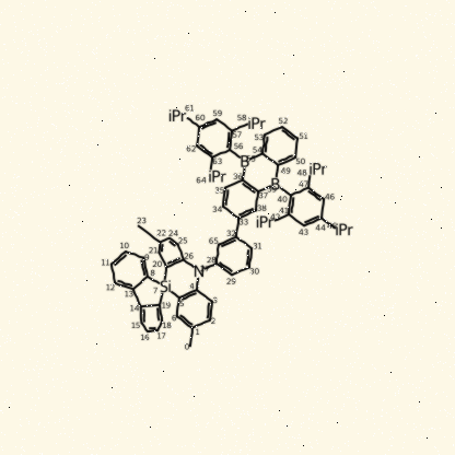 Cc1ccc2c(c1)[Si]1(c3ccccc3-c3ccccc31)c1cc(C)ccc1N2c1cccc(-c2ccc3c(c2)B(c2c(C(C)C)cc(C(C)C)cc2C(C)C)c2ccccc2B3c2c(C(C)C)cc(C(C)C)cc2C(C)C)c1